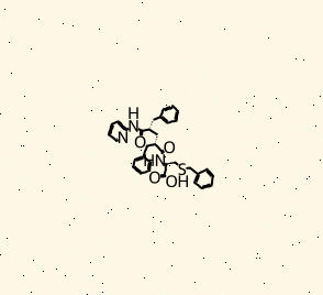 O=C(Nc1ccccn1)[C@H](Cc1ccccc1)C[C@@H](Cc1ccccc1)C(=O)N[C@@H](CSCc1ccccc1)C(=O)O